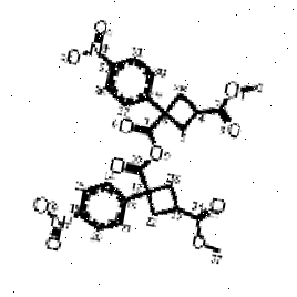 COC(=O)C1CC(C(=O)OC(=O)C2(c3ccc([N+](=O)[O-])cc3)CC(C(=O)OC)C2)(c2ccc([N+](=O)[O-])cc2)C1